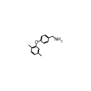 Cc1ccc(C)c(Oc2ccc(CN)cc2)c1